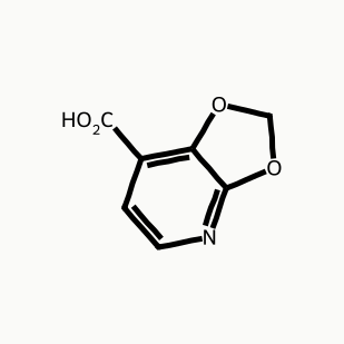 O=C(O)c1ccnc2c1OCO2